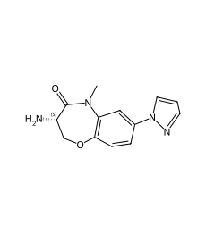 CN1C(=O)[C@@H](N)COc2ccc(-n3cccn3)cc21